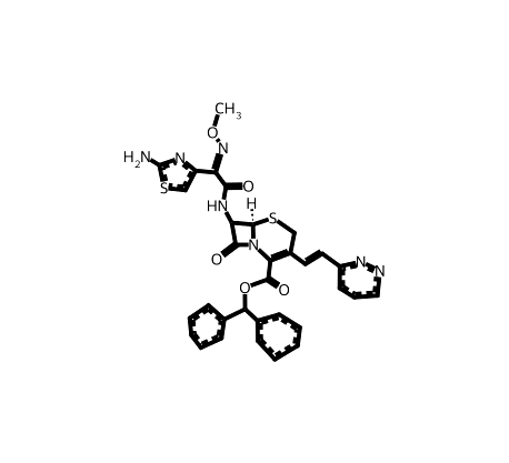 CO/N=C(/C(=O)NC1C(=O)N2C(C(=O)OC(c3ccccc3)c3ccccc3)=C(/C=C/c3cccnn3)CS[C@H]12)c1csc(N)n1